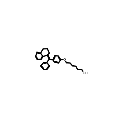 OCCCCCCOc1ccc(/C(=C2\CCCc3ccccc32)c2ccccc2)cc1